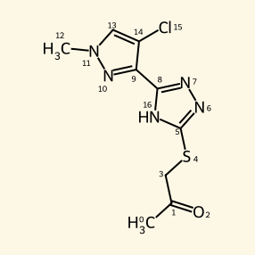 CC(=O)CSc1nnc(-c2nn(C)cc2Cl)[nH]1